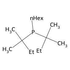 CCCCCCP(C(C)(C)CC)C(C)(C)CC